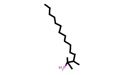 CCCCCCCCCCCCC(C)C(C)(C)P